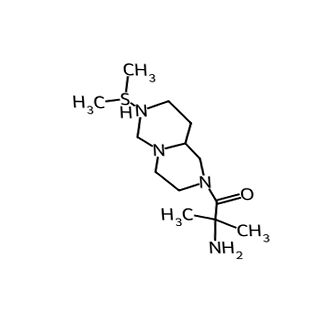 C[SH](C)N1CCC2CN(C(=O)C(C)(C)N)CCN2C1